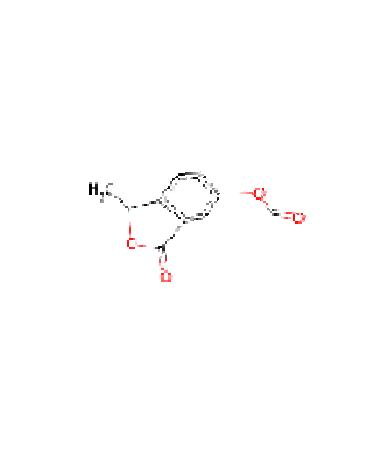 CC1OC(=O)c2cc(OC=O)ccc21